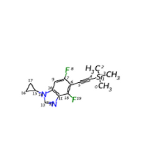 C[Si](C)(C)C#Cc1c(F)cc2c(ncn2C2CC2)c1F